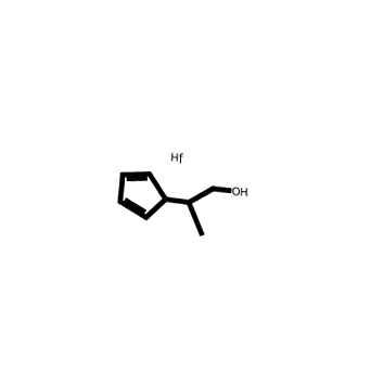 CC(CO)C1C=CC=C1.[Hf]